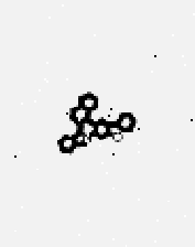 c1ccc2c(c1)ccc1c2c2cc3c(cc2n2cc4ccccc4c12)oc1ccccc13